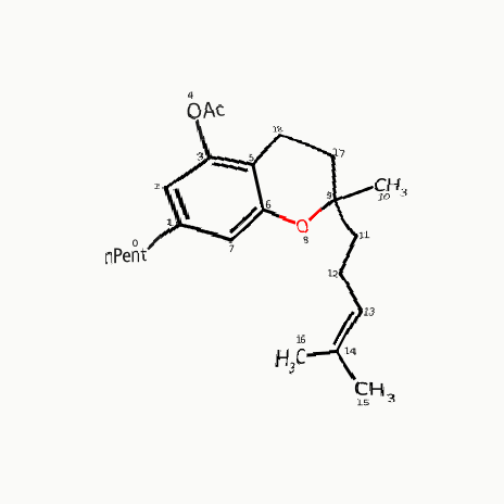 CCCCCc1cc(OC(C)=O)c2c(c1)OC(C)(CCC=C(C)C)CC2